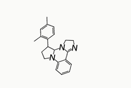 Cc1ccc(C2CCN3c4ccccc4C4=NCCN4C23)c(C)c1